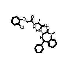 C[C@H](NC(=O)COc1ccccc1Cl)C(=O)N[C@H]1N=C(c2ccccc2)c2ccccc2N(C)C1=O